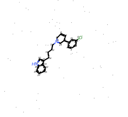 Clc1cccc(C2C=CCN(CCCCc3c[nH]c4ccccc34)C2)c1